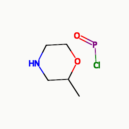 CC1CNCCO1.O=PCl